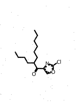 CCCCCCC(CCCC)C(=O)c1coc(Cl)n1